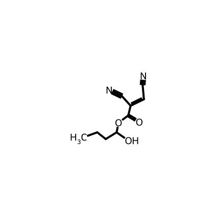 CCCC(O)OC(=O)C(C#N)=CC#N